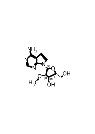 CO[C@@H]1[C@H](O)[C@@H](CO)O[C@H]1n1ccc2c(N)ncnc21